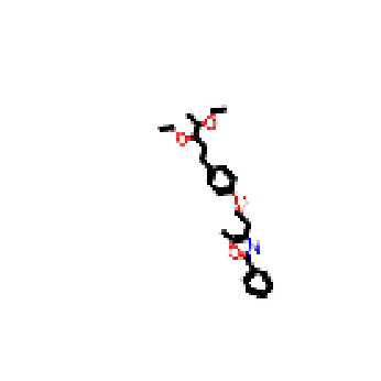 CCOC(C)C(CCc1ccc(OCCc2nc(-c3ccccc3)oc2C)cc1)OCC